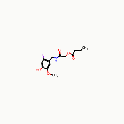 CCCC(=O)OCC(=O)NCc1cc(OC)c(O)cc1I